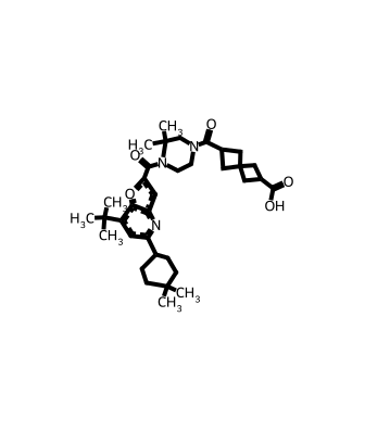 CC1(C)CCC(c2cc(C(C)(C)C)c3oc(C(=O)N4CCN(C(=O)C5CC6(CC(C(=O)O)C6)C5)CC4(C)C)cc3n2)CC1